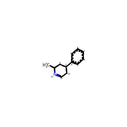 CC1CC(c2ccccc2)CC=N1